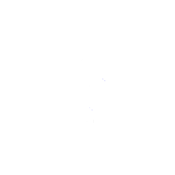 CN(C)c1cccc2c(=S)cc[nH]c12